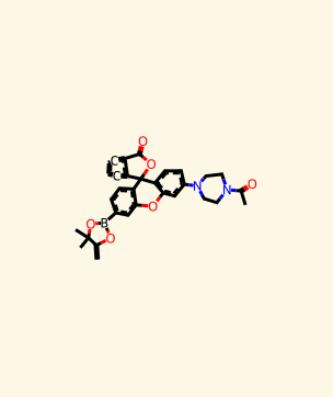 C=C1OB(c2ccc3c(c2)Oc2cc(N4CCN(C(C)=O)CC4)ccc2C32OC(=O)c3ccccc32)OC1(C)C